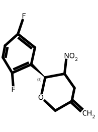 C=C1CO[C@@H](c2cc(F)ccc2F)C([N+](=O)[O-])C1